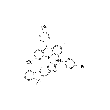 Cc1cc(Nc2ccc(C(C)(C)C)cc2)c2c(c1)N(c1ccc(C(C)(C)C)cc1)c1ccc(C(C)(C)C)cc1B2c1c(C)oc2cc3c(cc12)-c1ccccc1C3(C)C